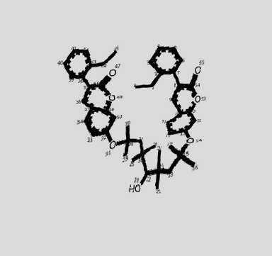 CCc1ccccc1-c1cc2ccc(OC(C)(C)CC(C)(C)C(O)C(C)(C)CC(C)(C)Oc3ccc4cc(-c5ccccc5CC)c(=O)oc4c3)cc2oc1=O